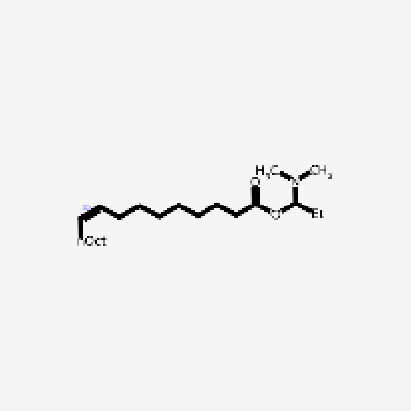 CCCCCCCC/C=C\CCCCCCCC(=O)OC(CC)N(C)C